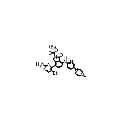 CCc1cnc(N)nc1-c1ccc(Nc2ccc(N3CCN(C)CC3)cn2)c2c1CN(C(=O)OC(C)(C)C)C2=O